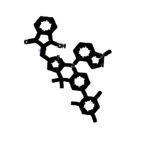 Cc1cc(C)c(-c2ccc3c(c2)C(C)(C)c2cc(/C=C4/C(=O)c5ccccc5C4O)sc2N3c2cccc3c2cnn3C)c(C)c1